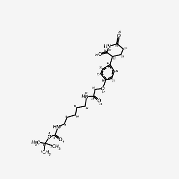 CC(C)(C)OC(=O)NCCCCCNC(=O)COc1ccc(C2CCC(=O)NC2=O)cc1